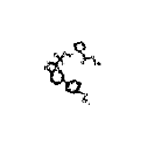 CC(C)(C)OC(=O)N1CCC[C@H]1COC(F)(F)c1nnc2ccc(-c3ccc(OC(F)(F)F)cc3)cn12